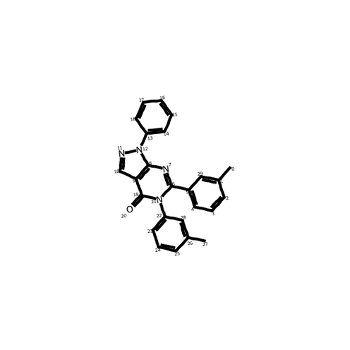 Cc1cccc(-c2nc3c(cnn3-c3ccccc3)c(=O)n2-c2cccc(C)c2)c1